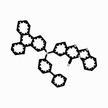 O=c1c2cc(N(c3cccc(-c4ccccc4)c3)c3ccc4c5ccccc5c5ccccc5c4c3)ccc2nc2sc3ccccc3n12